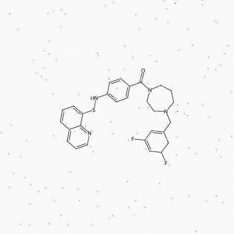 O=C(c1ccc(NSc2cccc3cccnc23)cc1)N1CCCN(CC2=CC(F)=CC(F)C2)CC1